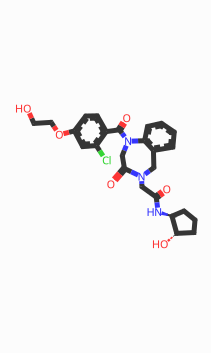 O=C(CN1Cc2ccccc2N(C(=O)c2ccc(OCCO)cc2Cl)CC1=O)N[C@H]1CCC[C@@H]1O